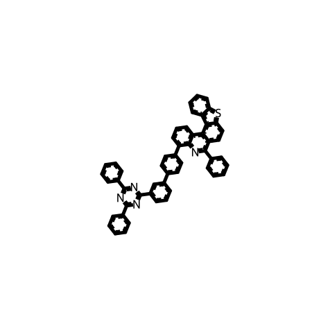 c1ccc(-c2nc(-c3ccccc3)nc(-c3cccc(-c4ccc(-c5cccc6c5nc(-c5ccccc5)c5ccc7sc8ccccc8c7c56)cc4)c3)n2)cc1